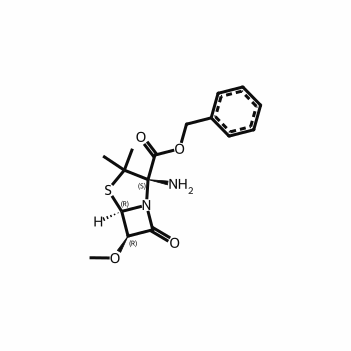 CO[C@@H]1C(=O)N2[C@@H]1SC(C)(C)[C@]2(N)C(=O)OCc1ccccc1